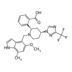 COc1cc(C)c2[nH]ccc2c1CN1CC[C@H](n2cnc(C(F)(F)F)n2)C[C@@H]1c1ccccc1C(=O)O